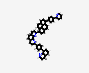 c1ccc(-c2ccc(-c3ccc4ccc5c(-c6ccc7ccc8ccc(-c9ccc(-c%10cccc%11cccnc%10%11)cc9)nc8c7n6)ccc6ccc3c4c65)cc2)nc1